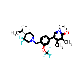 Cc1c(-c2ccc(CN3CC[C@@H](C(C)C)C(F)(F)C3)c(OC(F)(F)F)c2)cn(C)c(=O)c1C